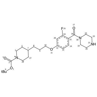 CC(C)(C)OC(=O)N1CCC(CCCOc2ccc(C(=O)N3CCNCC3)c(F)c2)CC1